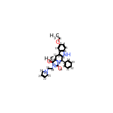 CCOc1ccc2[nH]c3c(c2c1)C[C@@]1(C)C(=O)N(CCN2CC=CC2)C(=O)N1[C@@H]3c1ccccc1